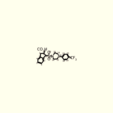 O=C(O)C1Cc2ccccc2C1S(=O)(=O)N1CCN(c2ccc(C(F)(F)F)cc2)CC1